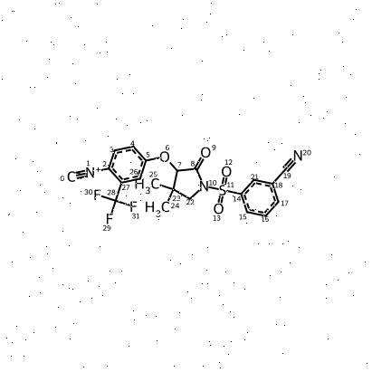 [C-]#[N+]c1ccc(OC2C(=O)N(S(=O)(=O)c3cccc(C#N)c3)CC2(C)C)cc1C(F)(F)F